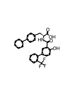 O=C(N[C@@H](Cc1ccc(-c2ccccc2)cc1)C(=O)O)c1cc(-c2ccccc2C(F)(F)F)ccc1O